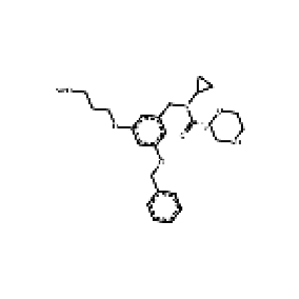 COCCCOc1cc(CN(C(=O)[C@H]2CNCCO2)C2CC2)cc(OCc2ccccc2)c1